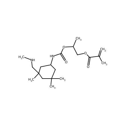 C=C(C)C(=O)OCC(C)OC(=O)NC1CC(C)(C)CC(C)(CNC)C1